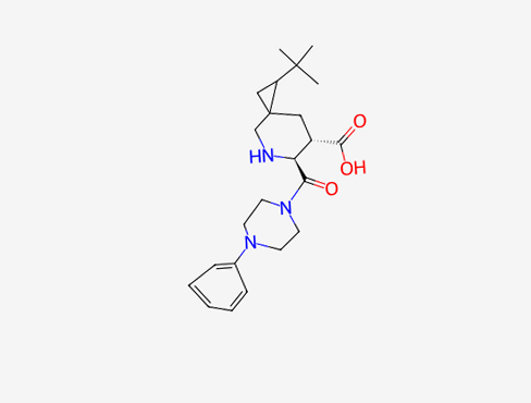 CC(C)(C)C1CC12CN[C@H](C(=O)N1CCN(c3ccccc3)CC1)[C@@H](C(=O)O)C2